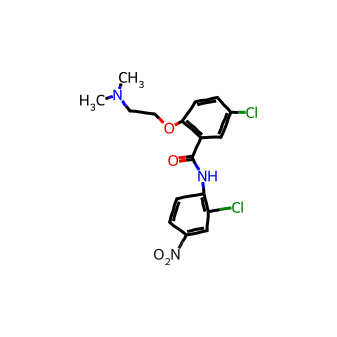 CN(C)CCOc1ccc(Cl)cc1C(=O)Nc1ccc([N+](=O)[O-])cc1Cl